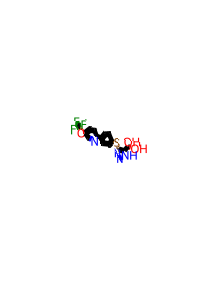 OC(O)c1[nH]nnc1Sc1ccc(-c2ccc(OC(F)(F)F)cn2)cc1